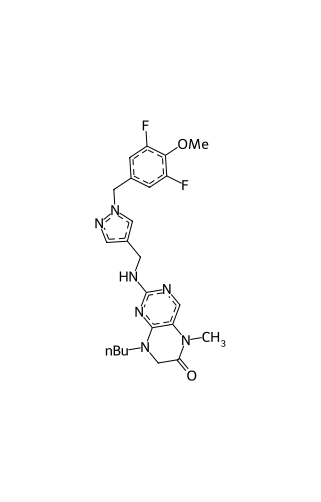 CCCCN1CC(=O)N(C)c2cnc(NCc3cnn(Cc4cc(F)c(OC)c(F)c4)c3)nc21